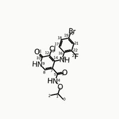 CC(C)ONC(=O)c1c[nH]c(=O)c(Cl)c1Nc1ccc(Br)cc1F